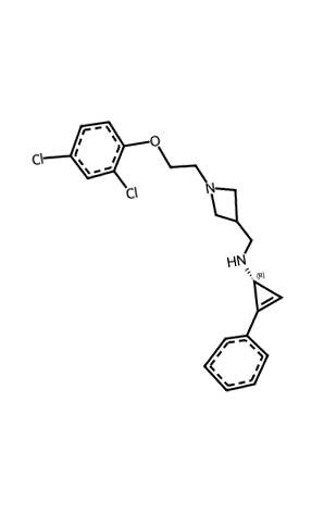 Clc1ccc(OCCN2CC(CN[C@@H]3C=C3c3ccccc3)C2)c(Cl)c1